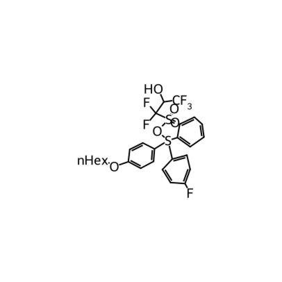 CCCCCCOc1ccc(S(OS(=O)(=O)C(F)(F)C(O)C(F)(F)F)(c2ccccc2)c2ccc(F)cc2)cc1